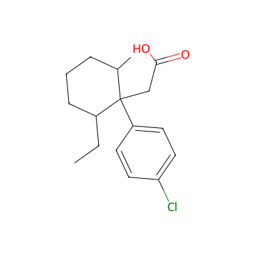 CCC1CCCC(C)C1(CC(=O)O)c1ccc(Cl)cc1